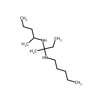 [CH2]C(CC)(NCCCCC)NC(C)CCC